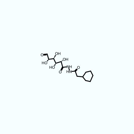 O=C[C@H](O)[C@@H](O)[C@H](O)[C@H](O)C(=O)NNC(=O)CC1CCCCC1